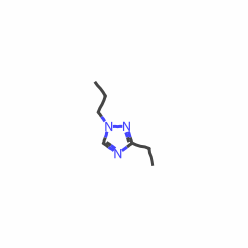 CCCn1cnc(CC)n1